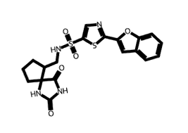 O=C1NC(=O)C2(CCCC2CNS(=O)(=O)c2cnc(-c3cc4ccccc4o3)s2)N1